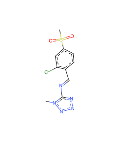 Cn1nnnc1/N=C/c1ccc(S(C)(=O)=O)cc1Cl